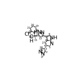 Cn1cc(-c2cnc3[nH]cc(-c4cc(C(C)(O)c5ccccc5Cl)[nH]n4)c3c2)cn1